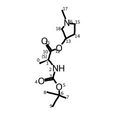 C[C@H](NC(=O)OC(C)(C)C)C(=O)OC1CCN(C)C1